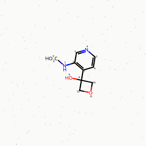 O=C(O)Nc1cnccc1C1(O)COC1